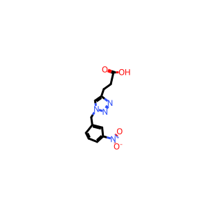 O=C(O)CCc1cn(Cc2cccc([N+](=O)[O-])c2)nn1